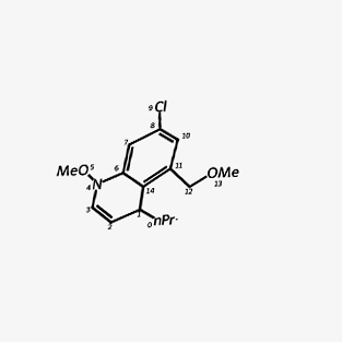 CC[CH]C1C=CN(OC)c2cc(Cl)cc(COC)c21